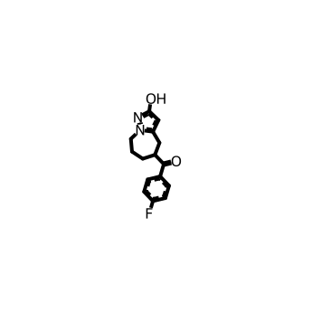 O=C(c1ccc(F)cc1)C1CCCn2nc(O)cc2C1